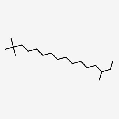 [CH2]CC(C)CCCCCCCCCCCC(C)(C)C